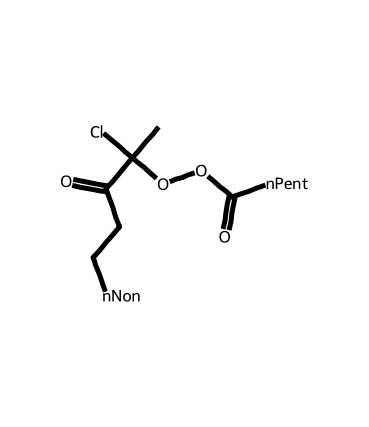 CCCCCCCCCCCC(=O)C(C)(Cl)OOC(=O)CCCCC